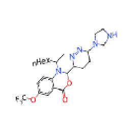 CCCCCCC(C)N1c2ccc(OC(F)(F)F)cc2C(=O)OC1C1CCC(N2CCNC2)N=N1